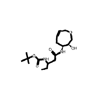 CCC(CC(=O)N[C@H]1C/C=C\COC[C@H]1O)NC(=O)OC(C)(C)C